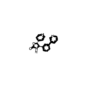 O=C1N[C@H](c2cccc(-c3cccnc3)c2)[C@@H](c2ccncc2)O1